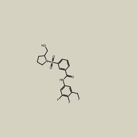 O=C(Nc1cc(F)c(F)c(CF)c1)c1cccc(S(=O)(=O)N2CCCC2CO)c1